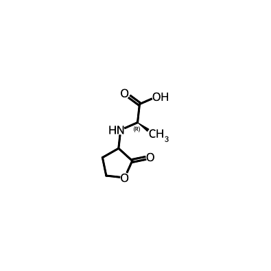 C[C@@H](NC1CCOC1=O)C(=O)O